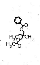 CCC(C)(COC(C)=O)COC(=O)c1ccccc1